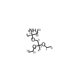 CCOC(C)(CO[C@](C)(N)CC)OCC